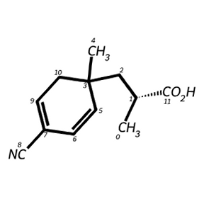 C[C@H](CC1(C)C=CC(C#N)=CC1)C(=O)O